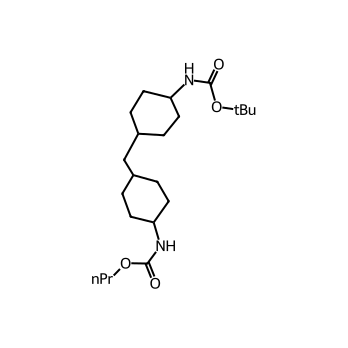 CCCOC(=O)NC1CCC(CC2CCC(NC(=O)OC(C)(C)C)CC2)CC1